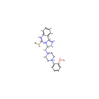 COc1ccccc1N1CCN(CC2CN=C3c4ccccc4N=C(SC)N32)CC1